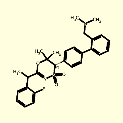 C[C](C1=NS(=O)(=O)[C@@H](c2ccc(-c3ccccc3CN(C)C)cc2)C(C)(C)O1)c1ccccc1F